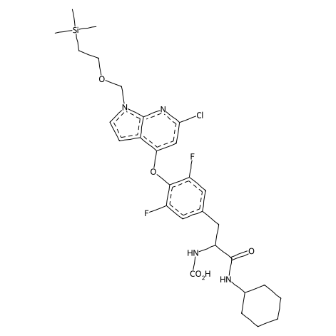 C[Si](C)(C)CCOCn1ccc2c(Oc3c(F)cc(CC(NC(=O)O)C(=O)NC4CCCCC4)cc3F)cc(Cl)nc21